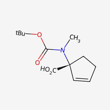 CN(C(=O)OC(C)(C)C)[C@@]1(C(=O)O)C=CCC1